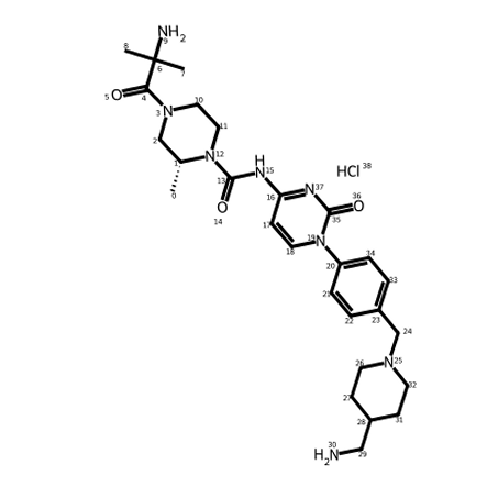 C[C@@H]1CN(C(=O)C(C)(C)N)CCN1C(=O)Nc1ccn(-c2ccc(CN3CCC(CN)CC3)cc2)c(=O)n1.Cl